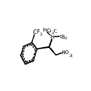 CC(C)(C)N(C(=O)O)C(C[N+](=O)[O-])c1ccccc1C(F)(F)F